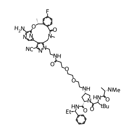 CC[C@@H](NC(=O)[C@@H]1C[C@H](NCCOCCOCCC(=O)NCCn2nc(C#N)c3c2CN(C)C(=O)c2ccc(F)cc2[C@@H](C)Oc2nc-3cnc2N)CN1C(=O)C(NC(=O)[C@H](C)NC)C(C)(C)C)c1ccccc1